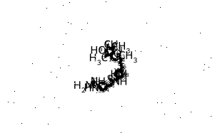 Cc1c(C)c2c(c(C)c1O)CCC(C)(CCSc1ccc(NC(=S)Cc3ccc(NC(=N)N)cc3)cc1)O2.Cl